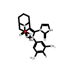 Cc1cc(-n2nc3c(c2-n2cc[nH]c2=O)C2CCCC(C3)N2C(=O)OC(C)(C)C)cc(C)c1F